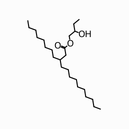 CCCCCCCCCCC(CCCCCCCC)CC(=O)OCC(O)CC